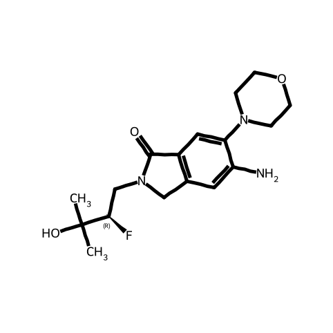 CC(C)(O)[C@H](F)CN1Cc2cc(N)c(N3CCOCC3)cc2C1=O